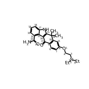 CCN(CC)CCOc1ccc2c(c1)C(C)(C)c1[nH]c3c[c]cc(C(N)=O)c3c1C2=O